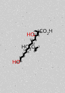 C=C(C)C(=O)O.CC(=CC(O)CCCCCCCCCCCO)C(=O)O